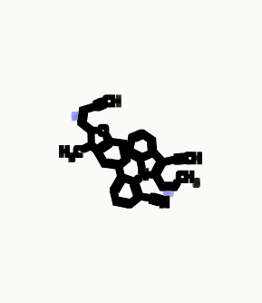 C#C/C=C\C1Oc2ccc(-c3cccc(C#N)c3-n3c(/C=C\C)c(C#C)c4ccccc43)cc2C1C